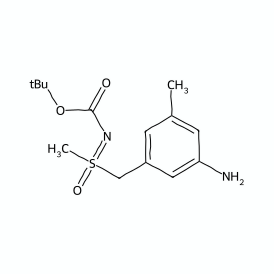 Cc1cc(N)cc(CS(C)(=O)=NC(=O)OC(C)(C)C)c1